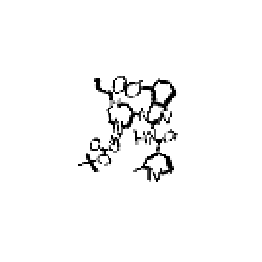 C=CC(=O)N1CCN(OC(=O)OC(C)(C)C)CC(n2c(NC(=O)c3ccnc(C)c3)nc3cccc(Cl)c32)C1